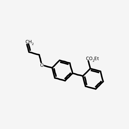 C=CCOc1ccc(-c2ccccc2C(=O)OCC)cc1